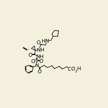 C=C[C@@H]1C[C@]1(NC(=O)CNCC1CCCC1)C(=O)NS(=O)(=O)N(C(=O)CCCCCCCC(=O)O)c1ccccc1